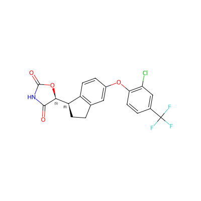 O=C1NC(=O)[C@H]([C@@H]2CCc3cc(Oc4ccc(C(F)(F)F)cc4Cl)ccc32)O1